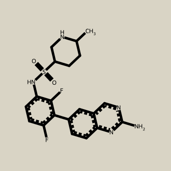 CC1CCC(S(=O)(=O)Nc2ccc(F)c(-c3ccc4nc(N)ncc4c3)c2F)CN1